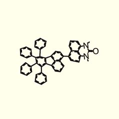 CN1C(=O)N(C)c2ccc(-c3ccc4c5c(cccc35)-c3c(-c5ccccc5)c(-c5ccccc5)c(-c5ccccc5)c(-c5ccccc5)c3-4)c3cccc1c23